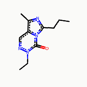 CCCc1nc(C)c2cnn(CC)c(=O)n12